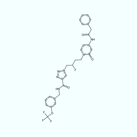 O=C(Cc1ccccc1)Nc1ccn(CCC(F)Cn2cc(C(=O)NCc3cccc(OC(F)(F)F)c3)nn2)c(=O)c1